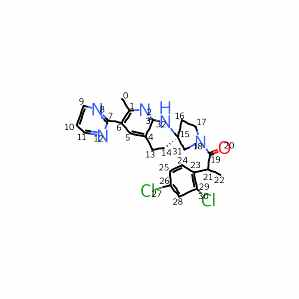 Cc1nc2c(cc1-c1ncccn1)CC[C@@]1(CCN(C(=O)C(C)c3ccc(Cl)cc3Cl)C1)N2